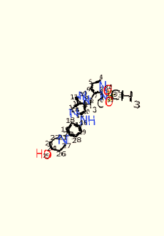 CN(c1ncccc1Cn1ncc2cnc(Nc3ccc(N4CCC(O)CC4)cc3)cc21)S(C)(=O)=O